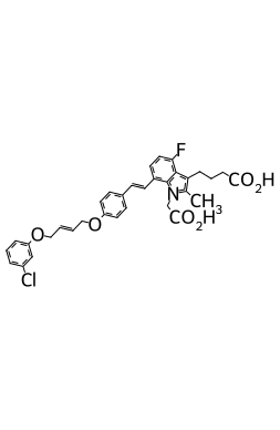 Cc1c(CCCC(=O)O)c2c(F)ccc(C=Cc3ccc(OCC=CCOc4cccc(Cl)c4)cc3)c2n1CC(=O)O